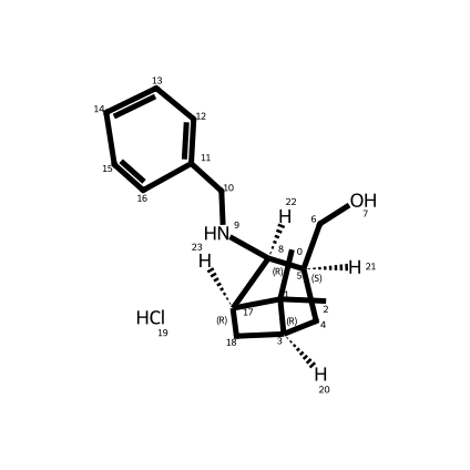 CC1(C)[C@H]2C[C@H](CO)[C@H](NCc3ccccc3)[C@@H]1C2.Cl